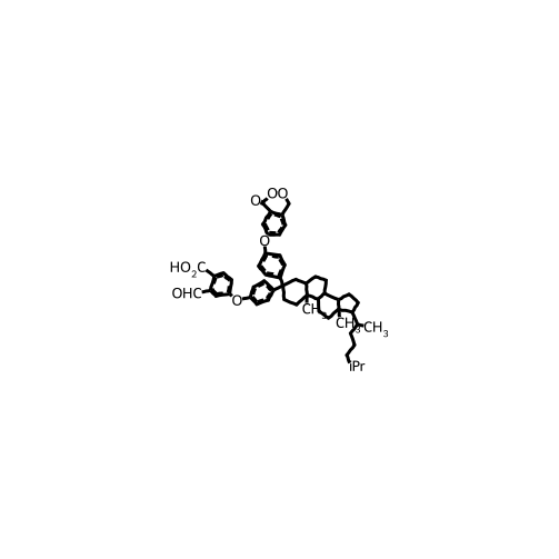 CC(C)CCCC(C)C1CCC2C3CCC4CC(c5ccc(Oc6ccc(C(=O)O)c(C=O)c6)cc5)(c5ccc(Oc6ccc7c(c6)C(=O)OOC7)cc5)CCC4(C)C3CCC12C